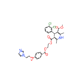 COC(=O)C1=C(C)NC(C)=C(C(=O)OCCOC(=O)c2ccc(OCCn3ccnc3)cc2)C1c1cccc(Cl)c1Cl